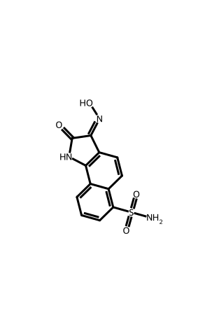 NS(=O)(=O)c1cccc2c3c(ccc12)/C(=N/O)C(=O)N3